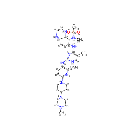 COc1nc(N2CCC(N3CCN(C)CC3)CC2)ccc1Nc1ncc(C(F)(F)F)c(Nc2ccc3nccnc3c2N(C)S(C)(=O)=O)n1